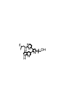 CC(C)(CO)n1cc(-c2ccnc(NCC(F)F)n2)c(-c2cnc3[nH]ccc3c2)n1